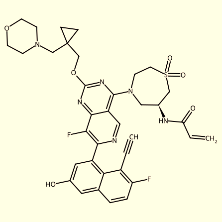 C#Cc1c(F)ccc2cc(O)cc(-c3ncc4c(N5CCS(=O)(=O)C[C@@H](NC(=O)C=C)C5)nc(OCC5(CN6CCOCC6)CC5)nc4c3F)c12